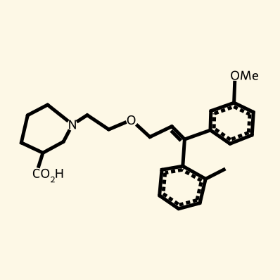 COc1cccc(C(=CCOCCN2CCCC(C(=O)O)C2)c2ccccc2C)c1